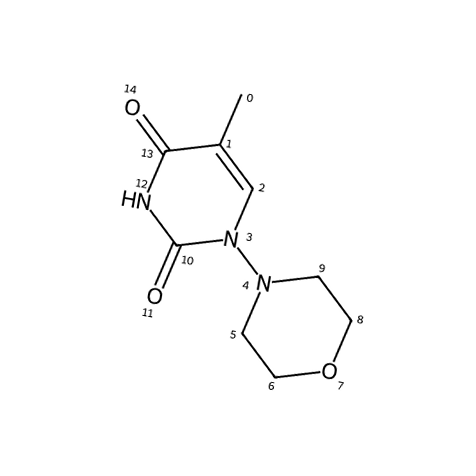 Cc1cn(N2CCOCC2)c(=O)[nH]c1=O